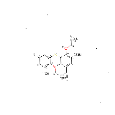 Cc1cc(Sc2cc(C)cc(C(C)(C)C)c2OCC(=O)O)c(OCC(=O)O)c(C(C)(C)C)c1